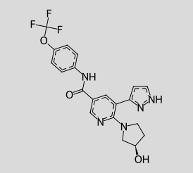 O=C(Nc1ccc(OC(F)(F)F)cc1)c1cnc(N2CC[C@@H](O)C2)c(-c2cc[nH]n2)c1